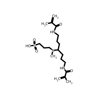 C=C(C)C(=O)NCCCC(CCCNC(=O)C(=C)C)N(C)CCCS(=O)(=O)O